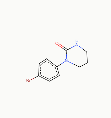 O=C1NCCCN1c1ccc(Br)cc1